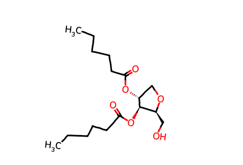 CCCCCC(=O)O[C@@H]1[C@H](CO)OC[C@H]1OC(=O)CCCCC